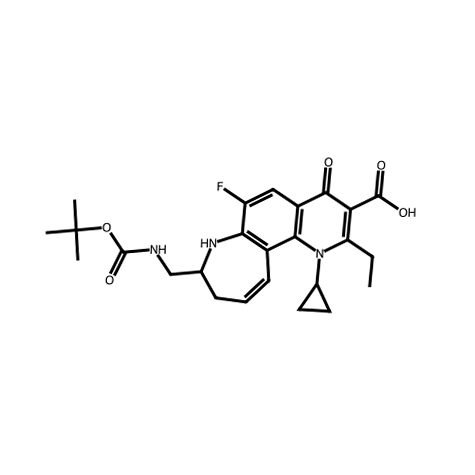 CCc1c(C(=O)O)c(=O)c2cc(F)c3c(c2n1C1CC1)C=CCC(CNC(=O)OC(C)(C)C)N3